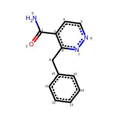 NC(=O)c1ccnnc1[CH]c1ccccc1